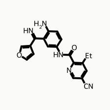 CCc1cc(C#N)cnc1C(=O)Nc1ccc(N)c(C(=N)c2ccoc2)c1